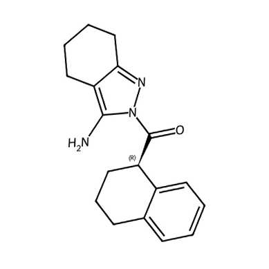 Nc1c2c(nn1C(=O)[C@@H]1CCCc3ccccc31)CCCC2